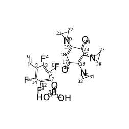 C=Cc1c(F)c(F)c(OB(O)O)c(F)c1F.O=C1C=C(N2CC2)C(=O)C(N2CC2)=C1N1CC1